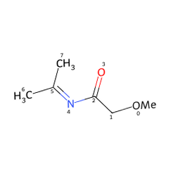 COCC(=O)N=C(C)C